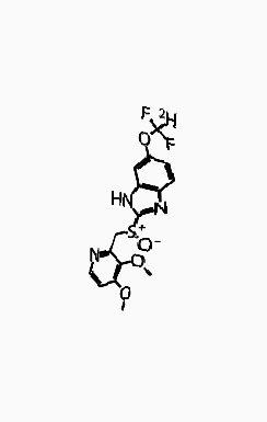 [2H]C(F)(F)Oc1ccc2nc([S+]([O-])Cc3nccc(OC)c3OC)[nH]c2c1